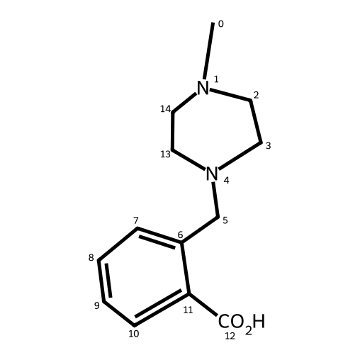 CN1CCN(Cc2ccccc2C(=O)O)CC1